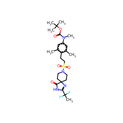 Cc1cc(N(C)C(=O)OC(C)(C)C)cc(C)c1CCS(=O)(=O)N1CCC2(CC1)N=C(C(C)(F)F)NC2=O